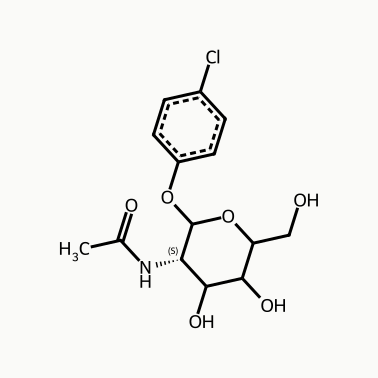 CC(=O)N[C@@H]1C(Oc2ccc(Cl)cc2)OC(CO)C(O)C1O